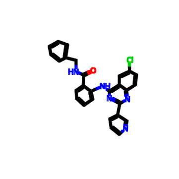 O=C(NCc1ccccc1)c1ccccc1Nc1nc(-c2cccnc2)nc2ccc(Cl)cc12